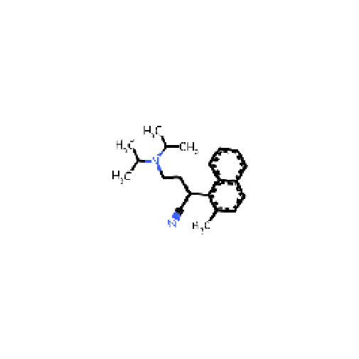 Cc1ccc2ccccc2c1C(C#N)CCN(C(C)C)C(C)C